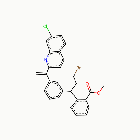 C=C(c1cccc(C(CCBr)c2ccccc2C(=O)OC)c1)c1ccc2ccc(Cl)cc2n1